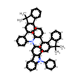 CC1(C)c2ccccc2-c2ccc(-c3ccccc3N(c3ccc4c(c3)c3ccccc3n4-c3ccccc3)c3ccccc3-c3cccc4c3-c3ccccc3C4(C)C)cc21